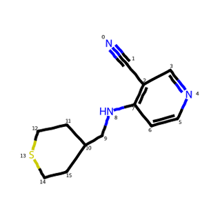 N#Cc1cnccc1NCC1CCSCC1